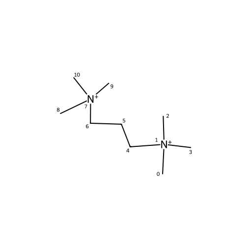 C[N+](C)(C)CCC[N+](C)(C)C